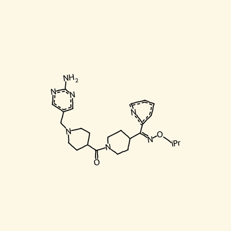 CC(C)O/N=C(\c1ccccn1)C1CCN(C(=O)C2CCN(Cc3cnc(N)nc3)CC2)CC1